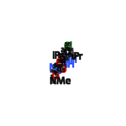 CNCOc1cncc(S(=O)(=O)NC(=O)Nc2c(C(C)C)cc(Cl)cc2C(C)C)n1